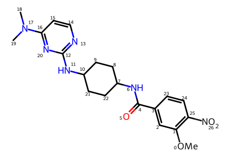 COc1cc(C(=O)NC2CCC(Nc3nccc(N(C)C)n3)CC2)ccc1[N+](=O)[O-]